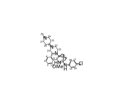 COc1ccccc1C(NC(=O)Nc1ccc(Cl)cc1)C(=O)N1CCN(C2CCN(C)CC2)CC1